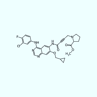 COC(=O)C1CCCN1CC#CC(=O)Nc1cc2c(Nc3ccc(F)c(Cl)c3)ncnc2cc1OCC1CC1